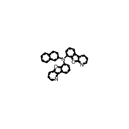 c1ccc2cc(N(c3cccc4c3oc3ncccc34)c3cccc4c3oc3cccnc34)ccc2c1